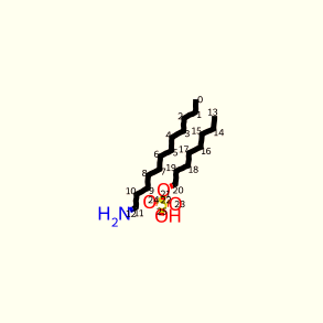 CCCCCCCCCCCCN.CCCCCCCCOS(=O)(=O)O